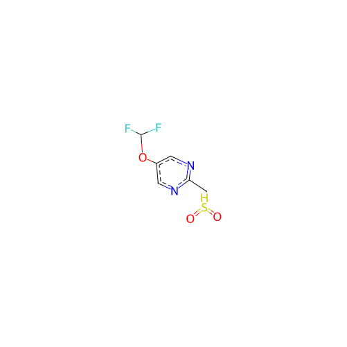 O=[SH](=O)Cc1ncc(OC(F)F)cn1